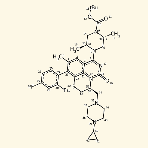 Cc1cc2c(N3C[C@@H](C)N(C(=O)OC(C)(C)C)C[C@@H]3C)nc(=O)n3c2c(c1-c1ccc(F)cc1F)SC[C@@H]3CN1CCN(C2CC2)CC1